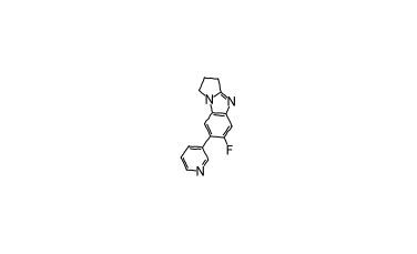 Fc1cc2nc3n(c2cc1-c1cccnc1)CCC3